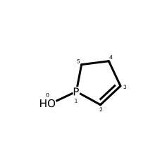 OP1C=CCC1